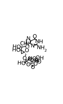 C[C@]1(O)[C@H](n2cnc3c(=O)[nH]c(N)nc32)O[C@@]2(COP(=O)(O)OP(=O)(O)OP(=O)(O)O)C[C@@]21O